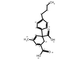 CCCCc1ccc(C2(C(=O)O)C=C(C)C=C(C(=O)O)C2)cc1